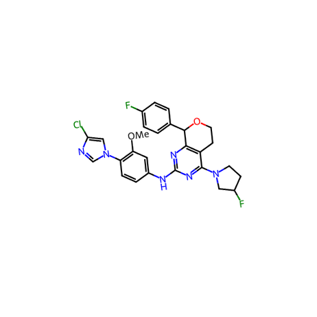 COc1cc(Nc2nc3c(c(N4CCC(F)C4)n2)CCOC3c2ccc(F)cc2)ccc1-n1cnc(Cl)c1